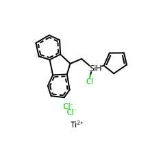 Cl[SiH](CC1c2ccccc2-c2ccccc21)C1=CC=CC1.[Cl-].[Cl-].[Ti+2]